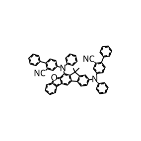 CC1(C)c2cc(N(c3ccccc3)c3ccc(-c4ccccc4)c(C#N)c3)ccc2-c2cc3c(oc4ccccc43)c(N(c3ccccc3)c3ccc(-c4ccccc4)c(C#N)c3)c21